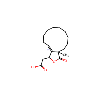 CC12CCCCCCCCC/C=C/1C(CC(=O)O)OC2=O